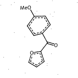 COc1ccc(C(=O)c2ccco2)cc1